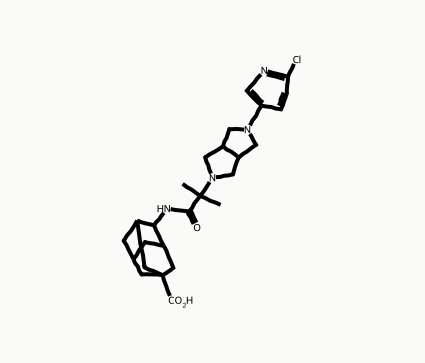 CC(C)(C(=O)NC1C2CC3CC1CC(C(=O)O)(C3)C2)N1CC2CN(c3ccc(Cl)nc3)CC2C1